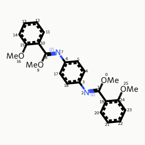 CO/C(=N\c1ccc(/N=C(\OC)c2ccccc2OC)cc1)c1ccccc1OC